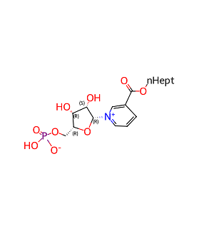 CCCCCCCOC(=O)c1ccc[n+]([C@@H]2O[C@H](COP(=O)([O-])O)[C@H](O)[C@@H]2O)c1